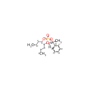 CCCCOP(=O)(OCCCC)OC(C)(C)c1ccccc1